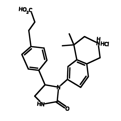 CC1(C)CNCc2ccc(N3C(=O)NCC3c3ccc(CCC(=O)O)cc3)cc21.Cl